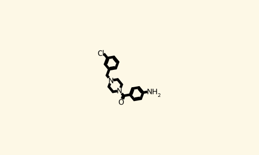 Nc1ccc(C(=O)N2CCN(Cc3cccc(Cl)c3)CC2)cc1